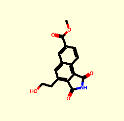 COC(=O)c1ccc2c3c(c(CCO)cc2c1)C(=O)NC3=O